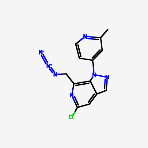 Cc1cc(-n2ncc3cc(Cl)nc(CN=[N+]=[N-])c32)ccn1